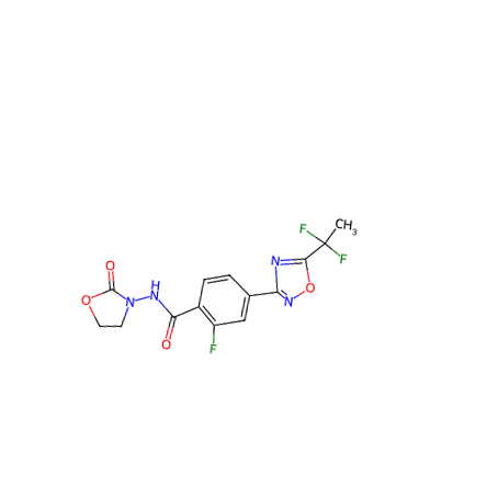 CC(F)(F)c1nc(-c2ccc(C(=O)NN3CCOC3=O)c(F)c2)no1